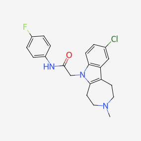 CN1CCc2c(n(CC(=O)Nc3ccc(F)cc3)c3ccc(Cl)cc23)CC1